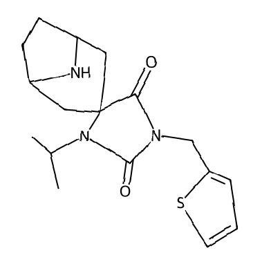 CC(C)N1C(=O)N(Cc2cccs2)C(=O)C12CC1CCC(C2)N1